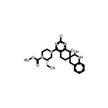 CC(C)(C)OC(=O)N1CCN(c2nc(Cl)nc3c2CCC2(Cc4ccccc4NC2O)C3=O)C[C@@H]1CC#N